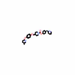 Cc1ccc(Oc2ccc(OCC3CCN(C(=O)Oc4ccc(Cc5ccccn5)cc4)CC3)cc2)nc1